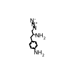 [N-]=[N+]=NC[C@@H](N)Cc1ccc(N)cc1